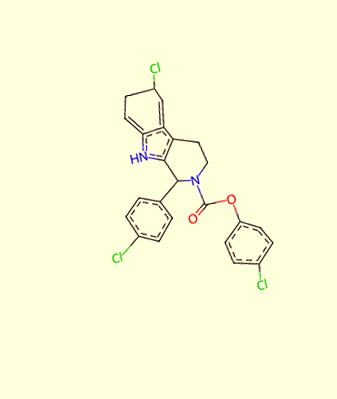 O=C(Oc1ccc(Cl)cc1)N1CCc2c([nH]c3c2=CC(Cl)CC=3)C1c1ccc(Cl)cc1